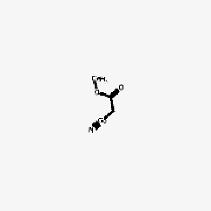 [N]#[Ge][CH2]C(=O)[O][GeH3]